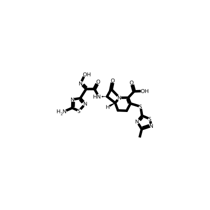 Cc1nsc(SC2=C(C(=O)O)N3C(=O)[C@@H](NC(=O)/C(=N\O)c4nsc(N)n4)[C@H]3CC2)n1